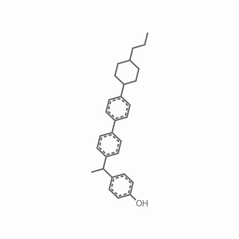 CCCC1CCC(c2ccc(-c3ccc(C(C)c4ccc(O)cc4)cc3)cc2)CC1